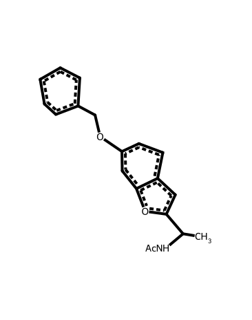 CC(=O)NC(C)c1cc2ccc(OCc3ccccc3)cc2o1